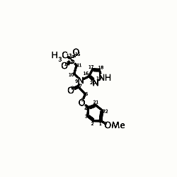 COc1ccc(OCC(=O)N(CCS(C)(=O)=O)c2cc[nH]n2)cc1